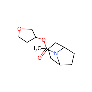 CC1CC2CCC(C1)N2C(=O)OC1CCOC1